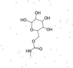 CNC(=O)OCC1OC(O)C(O)C(O)C1O